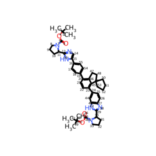 CC(C)(C)OC(=O)N1CCCC1c1ncc(-c2ccc(-c3ccc(-c4ccc5nc(C6CCCN6C(=O)OC(C)(C)C)[nH]c5c4)c4c3CCC43CCCC3)cc2)[nH]1